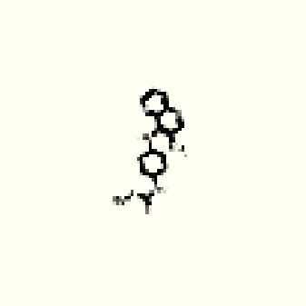 CC(C)(C)OC(=O)NC1CCC(Nc2c([N+](=O)[O-])cnc3cccnc23)CC1